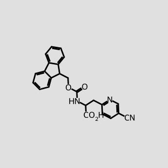 N#Cc1ccc(CC(NC(=O)OCC2c3ccccc3-c3ccccc32)C(=O)O)nc1